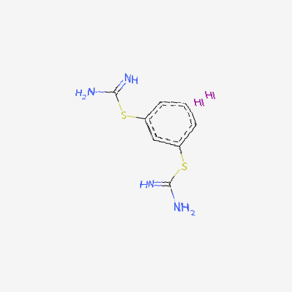 I.I.N=C(N)Sc1cccc(SC(=N)N)c1